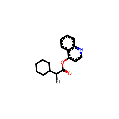 CCC(C(=O)Oc1ccnc2ccccc12)C1CCCCC1